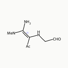 CN/C(N)=C(/NCC=O)C(C)=O